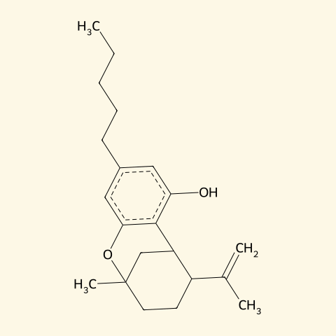 C=C(C)C1CCC2(C)CC1c1c(O)cc(CCCCC)cc1O2